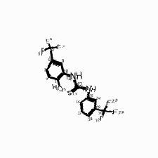 Oc1ccc(C(F)(F)F)cc1NC(=S)Nc1cccc(C(F)(F)F)c1